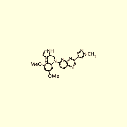 COc1cc(OC)cc(N(CC2NC=CN2)c2ccc3ncc(-c4cnn(C)c4)nc3n2)c1